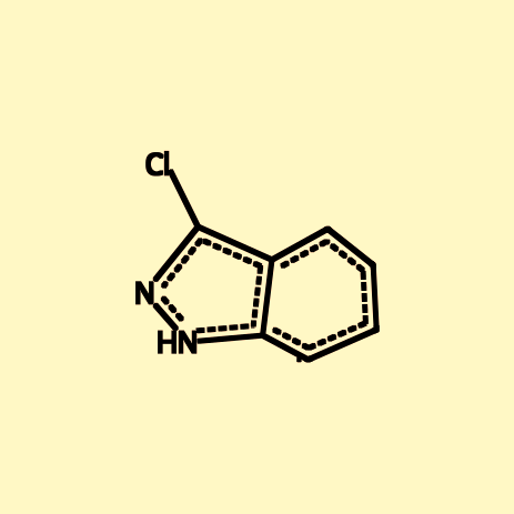 Clc1n[nH]c2[c]cccc12